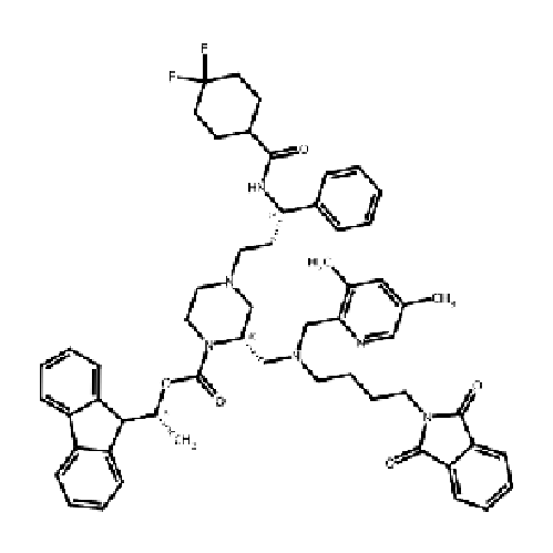 Cc1cnc(CN(CCCCN2C(=O)c3ccccc3C2=O)C[C@H]2CN(CC[C@H](NC(=O)C3CCC(F)(F)CC3)c3ccccc3)CCN2C(=O)O[C@H](C)C2c3ccccc3-c3ccccc32)c(C)c1